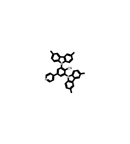 Cc1ccc2c(c1)c1cc(C)ccc1n2-c1cc(-c2ccncc2)cc(-n2c3ccc(C)cc3c3cc(C)ccc32)c1C#N